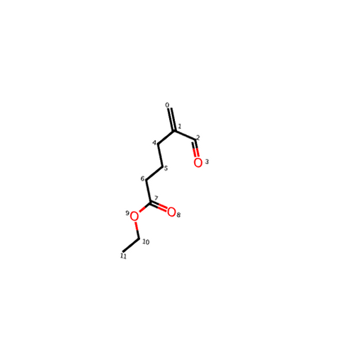 C=C(C=O)CCCC(=O)OCC